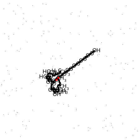 CC(C)=CCC/C(C)=C/CC[C@@]1(C)Oc2c(c(O)cc3c2CN(CCC[C@@H](C(=O)OCCOCCOCCOCCOCCOCCOCCOCCOCCOCCOCCOCCO)N2Cc4c(cc(O)c5c4O[C@](C)(CC/C=C(\C)CCC=C(C)C)[C@@H](O)C5)C2=O)C3=O)C[C@@H]1O